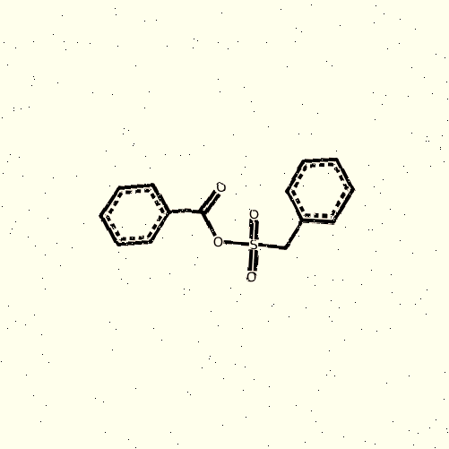 O=C(OS(=O)(=O)Cc1ccccc1)c1ccccc1